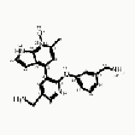 Cc1cc(-c2cc(CN)cnc2Oc2cccc(CN)c2)c2cc[nH]c2[n+]1[O-]